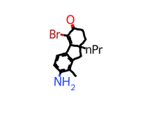 CCCC12CCC(=O)C(Br)=C1c1ccc(N)c(C)c1C2